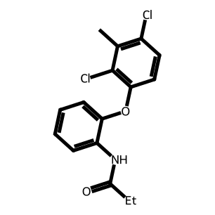 CCC(=O)Nc1ccccc1Oc1ccc(Cl)c(C)c1Cl